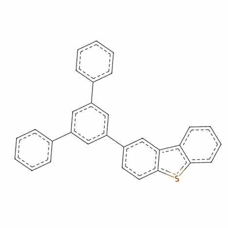 c1ccc(-c2cc(-c3ccccc3)cc(-c3ccc4sc5ccccc5c4c3)c2)cc1